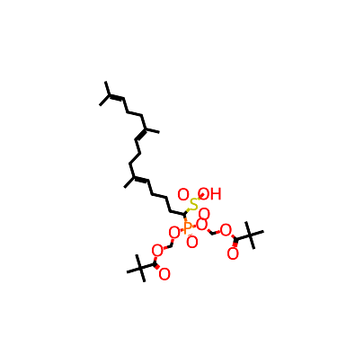 CC(C)=CCCC(C)=CCCC(C)=CCCCC(P(=O)(OCOC(=O)C(C)(C)C)OCOC(=O)C(C)(C)C)S(=O)(=O)O